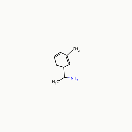 CC1=CC(C(C)N)CC=C1